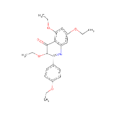 CCOc1ccc(C2=Nc3cc(OCC)cc(OCC)c3C(=O)C2OCC)cc1